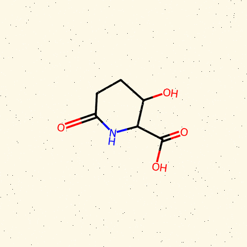 O=C1CCC(O)C(C(=O)O)N1